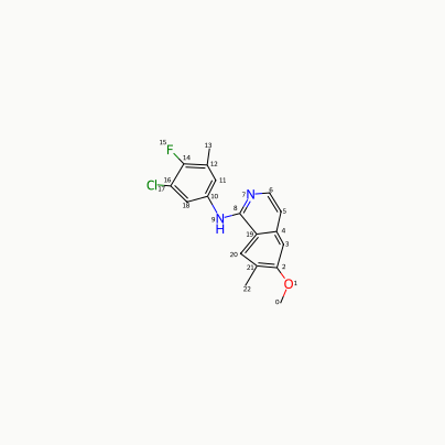 COc1cc2ccnc(Nc3cc(C)c(F)c(Cl)c3)c2cc1C